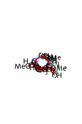 COCCOCCOC1C[C@@H]2CC[C@@H](C)[C@@](O)(O2)C(=O)C(=O)N2CCCC[C@H]2C(=O)O[C@H]([C@H](C)C[C@@H]2CC[C@@H](OCCCO)[C@H](OC)C2)CC(=O)[C@H](C)/C=C(\C)[C@@H](O)[C@@H](OC)C(=O)[C@H](C)C[C@H](C)/C=C/C=C/C=C/1C